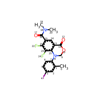 Cc1cc(I)ccc1N1COC(=O)c2cc(C(=O)N(C)C)c(F)c(F)c21